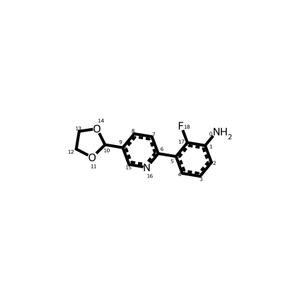 Nc1cccc(-c2ccc(C3OCCO3)cn2)c1F